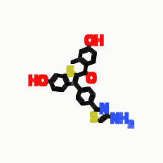 Cc1cc(O)ccc1C(=O)c1sc2cc(O)ccc2c1-c1ccc(-c2nc(N)cs2)cc1